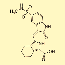 CNS(=O)(=O)c1ccc2c(c1)C(=Cc1[nH]c(C(=O)O)c3c1CCCC3)C(=O)N2